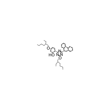 CCCCC(CC)COc1ccc(-c2nc(OCC(CC)CCCC)nc(-c3cc4ccccc4c4ccccc34)n2)c(O)c1